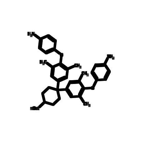 CCCCCCCCC1CCC(c2cc(C)c(Oc3ccc(N)cc3)c(C)c2)(c2cc(C)c(Oc3ccc(N)cc3)c(C)c2)CC1